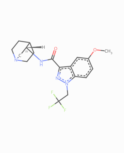 COc1ccc2c(c1)c(C(=O)N[C@@H]1CN3CCC1CC3)nn2CC(F)(F)F